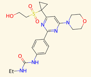 CCNC(=O)Nc1ccc(-c2nc(N3CCOCC3)cc(C3(S(=O)(=O)CCO)CC3)n2)cc1